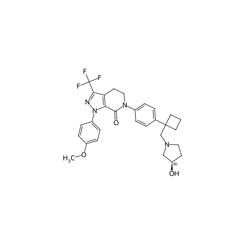 COc1ccc(-n2nc(C(F)(F)F)c3c2C(=O)N(c2ccc(C4(CN5CC[C@@H](O)C5)CCC4)cc2)CC3)cc1